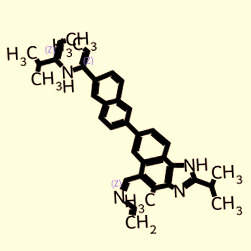 C=C/N=C\c1c(C)c2nc(C(C)C)[nH]c2c2ccc(-c3ccc4cc(/C(=C/C)N/C(=C\C)C(C)C)ccc4c3)cc12